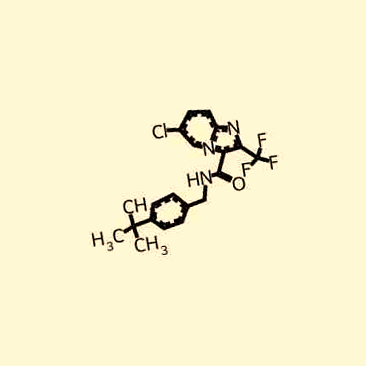 CC(C)(C)c1ccc(CNC(=O)c2c(C(F)(F)F)nc3ccc(Cl)cn23)cc1